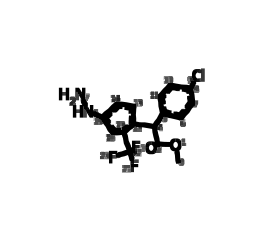 COC(=O)C(c1ccc(Cl)cc1)c1ccc(NN)cc1C(F)(F)F